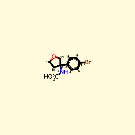 O=C(O)NC1(c2ccc(Br)cc2)CCOC1